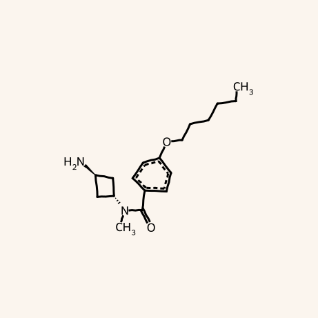 CCCCCCOc1ccc(C(=O)N(C)[C@H]2C[C@H](N)C2)cc1